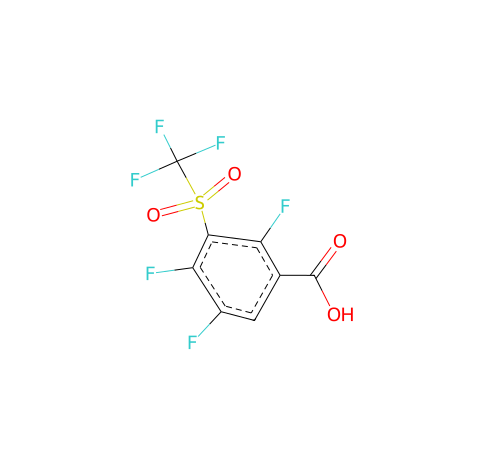 O=C(O)c1cc(F)c(F)c(S(=O)(=O)C(F)(F)F)c1F